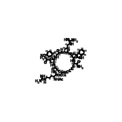 CC(=O)N[C@H](CCCNC(=N)N)C(=O)N[C@H]1CC(=O)NCCCCC(C(N)=O)NC(=O)[C@H](Cc2c[nH]c3ccccc23)NC(=O)[C@H](CCCNC(=N)N)NC(=O)[C@@H](Cc2ccc(C#N)cc2)NC(=O)[C@H](CCC(N)=O)NC1=O